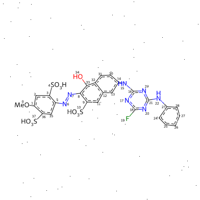 COc1cc(S(=O)(=O)O)c(/N=N/c2c(S(=O)(=O)O)cc3cc(Nc4nc(F)nc(Nc5ccccc5)n4)ccc3c2O)cc1S(=O)(=O)O